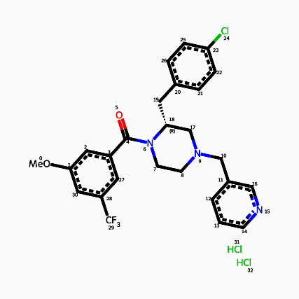 COc1cc(C(=O)N2CCN(Cc3cccnc3)C[C@H]2Cc2ccc(Cl)cc2)cc(C(F)(F)F)c1.Cl.Cl